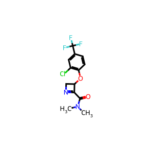 CN(C)C(=O)C1=NCC1Oc1ccc(C(F)(F)F)cc1Cl